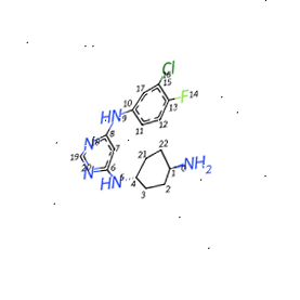 N[C@H]1CC[C@H](Nc2cc(Nc3ccc(F)c(Cl)c3)ncn2)CC1